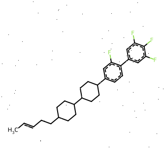 C/C=C/CCC1CCC(C2CCC(c3ccc(-c4cc(F)c(F)c(F)c4)c(F)c3)CC2)CC1